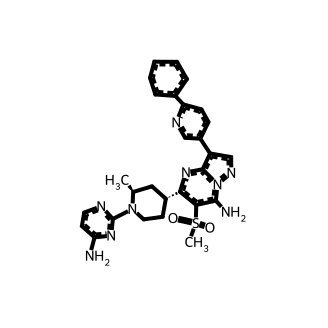 C[C@H]1C[C@H](c2nc3c(-c4ccc(-c5ccccc5)nc4)cnn3c(N)c2S(C)(=O)=O)CCN1c1nccc(N)n1